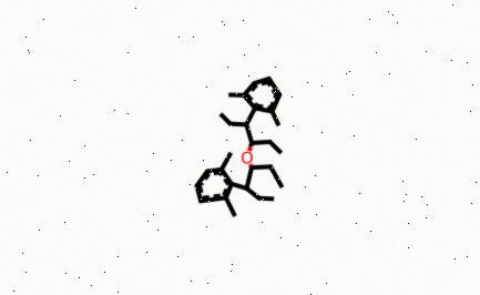 CCC(OC(CC)C(CC)c1c(C)cccc1C)C(CC)c1c(C)cccc1C